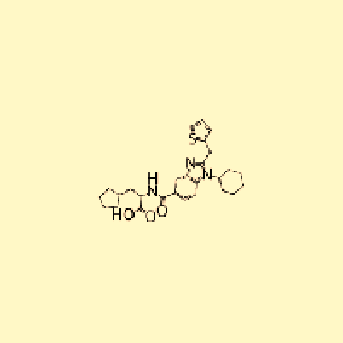 O=C(NC(CC1CCCC1)C(=O)O)c1ccc2c(c1)nc(Cc1cccs1)n2C1CCCCC1